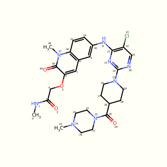 CNC(=O)COc1cc2cc(Nc3nc(N4CCC(C(=O)N5CCN(C)CC5)CC4)ncc3Cl)ccc2n(C)c1=O